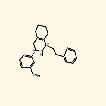 COc1cccc([C@@H]2CC3=C(CCCC3)[C@@H](CCc3ccccc3)N2)c1